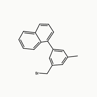 Cc1cc(CBr)cc(-c2cccc3ccccc23)c1